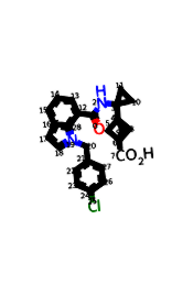 O=C(NC1(C23CC(C(=O)O)(C2)C3)CC1)c1cccc2ccn(Cc3ccc(Cl)cc3)c12